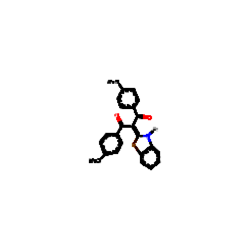 CCN1C(=C(C(=O)c2ccc(OC)cc2)C(=O)c2ccc(OC)cc2)Sc2ccccc21